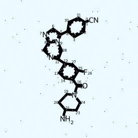 N#Cc1ccc(-c2cnc3cnc(-c4ccc(C(=O)N5CCC(N)CC5)c(F)c4)cn23)cc1